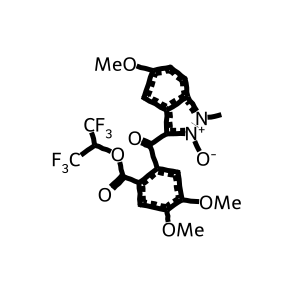 COc1ccc2c(c1)c(C(=O)c1cc(OC)c(OC)cc1C(=O)OC(C(F)(F)F)C(F)(F)F)[n+]([O-])n2C